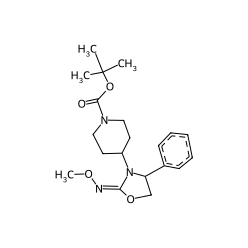 CON=C1OCC(c2ccccc2)N1C1CCN(C(=O)OC(C)(C)C)CC1